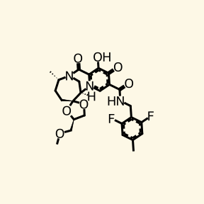 COC[C@@H]1CO[C@]2(CC[C@H](C)N3C[C@H]2n2cc(C(=O)NCc4c(F)cc(C)cc4F)c(=O)c(O)c2C3=O)O1